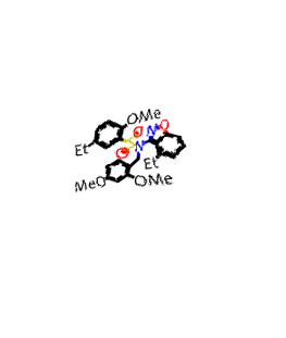 CCc1ccc(OC)c(S(=O)(=O)N(Cc2ccc(OC)cc2OC)c2noc3cccc(CC)c23)c1